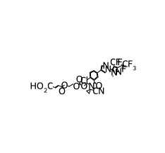 Cn1nc(C(F)(F)C(F)(F)F)c(C(F)(F)F)c1-n1cc(-c2ccc(Cl)c(C(=O)N(COC(=O)OCCOC(=O)/C=C/C(=O)O)C3(C#N)CC3)c2)cn1